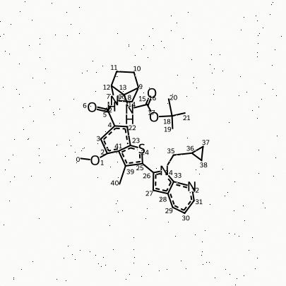 COc1cc(C(=O)N2CC3CCC2[C@@H]3NC(=O)OC(C)(C)C)cc2sc(-c3cc4cccnc4n3CC3CC3)c(C)c12